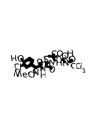 CON=C(C(=O)NC1C(=O)N2CC(COC(=O)NC(=O)C(Cl)(Cl)Cl)(C(=O)O)CS[C@H]12)c1ccc(O)c(Cl)c1